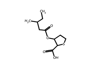 CCC(C)CC(=O)OC1CCSC1C(=O)O